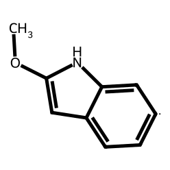 COc1cc2cc[c]cc2[nH]1